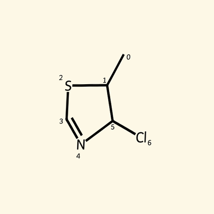 CC1SC=NC1Cl